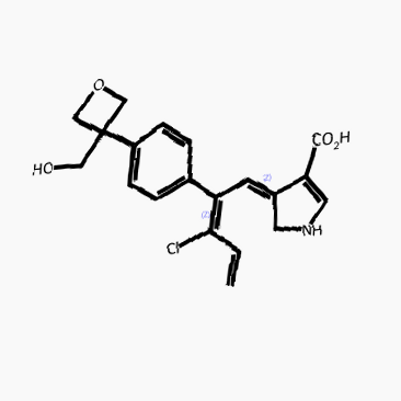 C=C/C(Cl)=C(\C=C1/CNC=C1C(=O)O)c1ccc(C2(CO)COC2)cc1